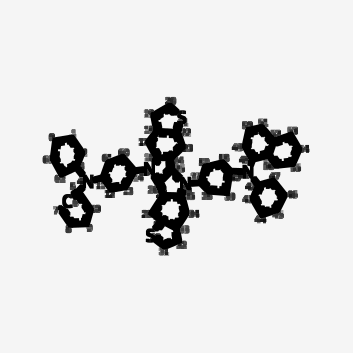 c1ccc(N(c2ccccc2)c2ccc(-n3c4cc5ccsc5cc4c4c3c3cc5sccc5cc3n4-c3ccc(N(c4ccccc4)c4cccc5ccccc45)cc3)cc2)cc1